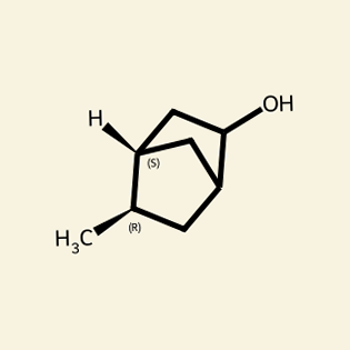 C[C@@H]1CC2C[C@H]1CC2O